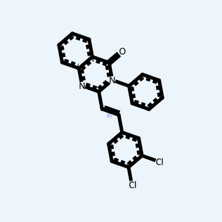 O=c1c2ccccc2nc(/C=C/c2ccc(Cl)c(Cl)c2)n1-c1ccccc1